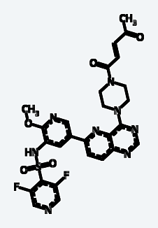 COc1ncc(-c2ccc3ncnc(N4CCN(C(=O)/C=C/C(C)=O)CC4)c3n2)cc1NS(=O)(=O)c1c(F)cncc1F